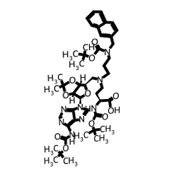 CC(C)(C)OC(=O)Nc1ncnc2c1ncn2[C@@H]1O[C@H](CN(CCCN(Cc2ccc3ccccc3c2)C(=O)OC(C)(C)C)CC[C@H](NC(=O)OC(C)(C)C)C(=O)O)[C@H]2OC(C)(C)O[C@H]21